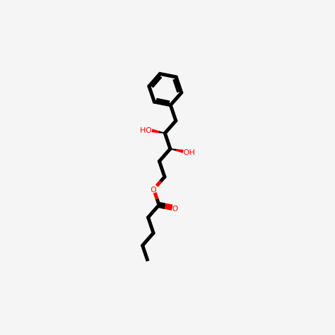 CCCCC(=O)OCC[C@H](O)[C@@H](O)Cc1ccccc1